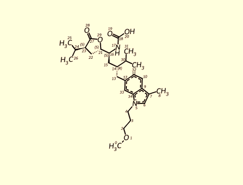 COCCCn1cc(C)c2ccc(C[C@H](C[C@H](NC(=O)O)[C@@H]3C[C@@H](C(C)C)C(=O)O3)C(C)C)cc21